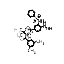 Cc1cc(C)cc(C(=O)N(NC(=O)c2ccc(NO)c(NS(=O)(=O)c3ccccc3)c2)C(C)(C)C)c1